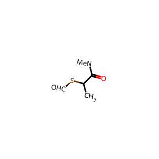 CNC(=O)C(C)SC=O